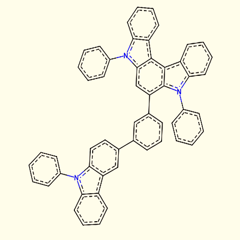 c1ccc(-n2c3ccccc3c3cc(-c4cccc(-c5cc6c(c7ccccc7n6-c6ccccc6)c6c7ccccc7n(-c7ccccc7)c56)c4)ccc32)cc1